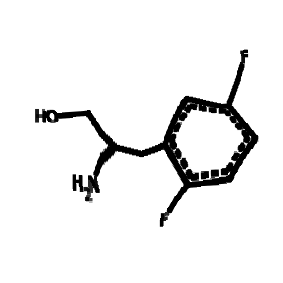 NC(CO)c1cc(F)ccc1F